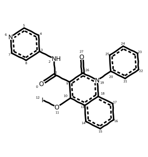 O=C(Nc1ccncc1)c1c(OI)c2ccccc2n(-c2ccccc2)c1=O